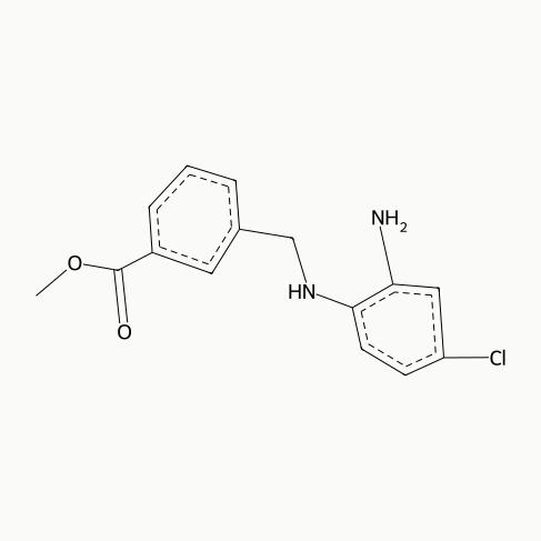 COC(=O)c1cccc(CNc2ccc(Cl)cc2N)c1